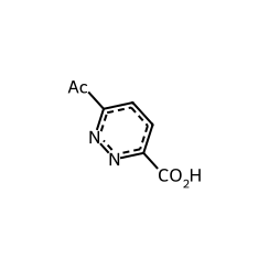 CC(=O)c1ccc(C(=O)O)nn1